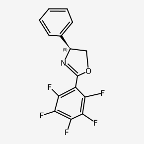 Fc1c(F)c(F)c(C2=N[C@@H](c3ccccc3)CO2)c(F)c1F